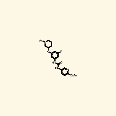 COc1ccc(NC(=O)Nc2cc(F)cc(O[C@@H]3CCCN(C(C)=O)C3)c2)cn1